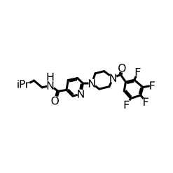 CC(C)CCNC(=O)c1ccc(N2CCN(C(=O)c3cc(F)c(F)c(F)c3F)CC2)nc1